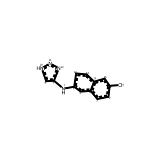 Clc1ccc2cc(Nc3c[nH]nn3)ccc2c1